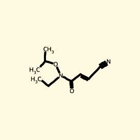 CCN(OC(C)C)C(=O)/C=C/C#N